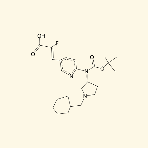 CC(C)(C)OC(=O)N(c1ccc(/C=C(\F)C(=O)O)cn1)[C@@H]1CCN(CC2CCCCC2)C1